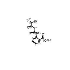 COC(=O)c1ccccc1NC(=O)CC(=O)C(Br)Br